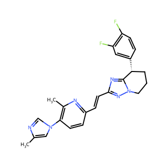 Cc1cn(-c2ccc(/C=C/c3nc4n(n3)CCC[C@H]4c3ccc(F)c(F)c3)nc2C)cn1